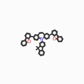 CC1(C)c2ccccc2-c2ccc(N3c4ccc(-c5cccc6c5oc5ccccc56)cc4C=Cc4cc(-c5cccc6c5oc5ccccc56)ccc43)cc21